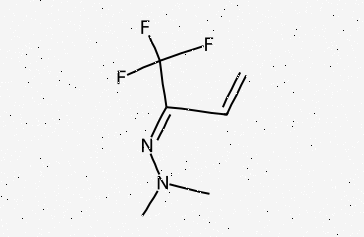 C=C/C(=N\N(C)C)C(F)(F)F